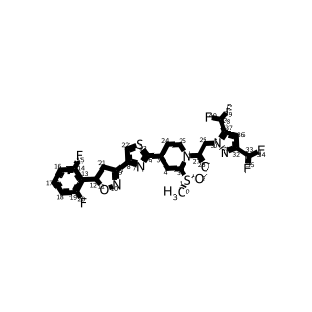 C[S+]([O-])C1CC(c2nc(C3=NOC(c4c(F)cccc4F)C3)cs2)CCN1C(=O)Cn1nc(C(F)F)cc1C(F)F